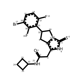 O=C(Cc1[nH]c(=S)n2c1CC(c1c(F)ccc(Br)c1F)C2)NC1CCC1